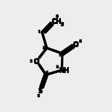 C=CC1OC(=S)NC1=O